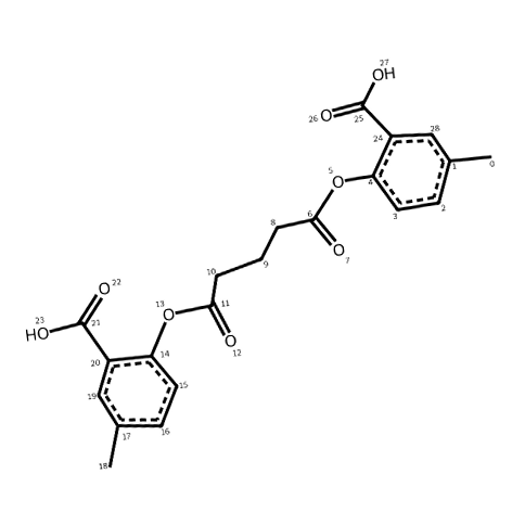 Cc1ccc(OC(=O)CCCC(=O)Oc2ccc(C)cc2C(=O)O)c(C(=O)O)c1